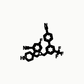 N#Cc1ccc(-c2cc(COCC3(c4ccc(F)cc4C#N)CCNCC3)cc(C(F)(F)F)c2)cc1